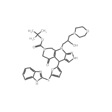 CC(C)(C)OC(=O)N1CC(=O)C2=C(C1)N(CC(O)CN1CCOCC1)c1n[nH]cc1C2c1ccc(Sc2nc3ccccc3[nH]2)o1